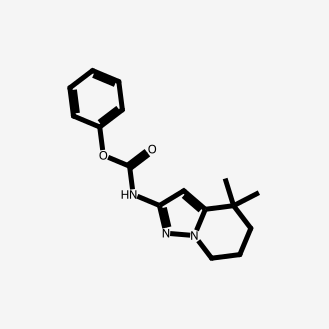 CC1(C)CCCn2nc(NC(=O)Oc3ccccc3)cc21